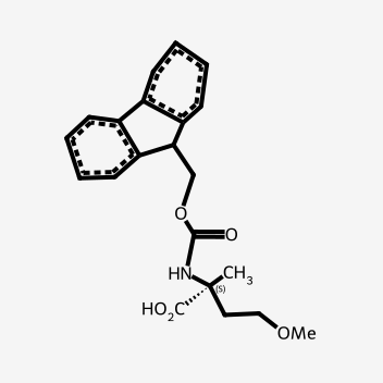 COCC[C@](C)(NC(=O)OCC1c2ccccc2-c2ccccc21)C(=O)O